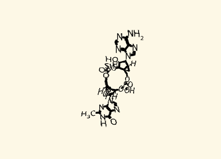 Cc1nc2c(ncn2[C@@H]2O[C@@H]3CO[P@](=O)(S)O[C@H]4[C@@H](O)[C@H](n5cnc6c(N)ncnc65)[C@H]5C[C@]54COP(=O)(O)O[C@@H]2[C@@H]3F)c(=O)[nH]1